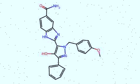 COc1ccc(Cn2nc(-c3ccccc3)c(O)c2-c2nc3cc(C(N)=O)ccc3[nH]2)cc1